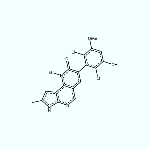 CCn1c(=O)c(-c2c(Cl)c(O)cc(OC)c2Cl)cc2cnc3[nH]c(C)cc3c21